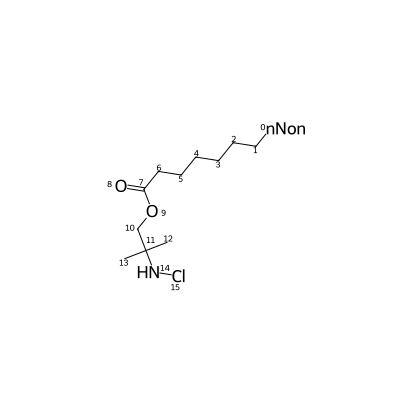 CCCCCCCCCCCCCCCC(=O)OCC(C)(C)NCl